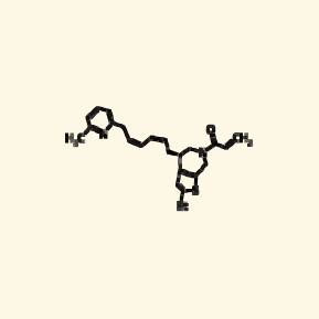 C=CC(=O)N1Cc2sc(CC)cc2[C@@H](C/C=C\C=C/Cc2cccc(C)n2)C1